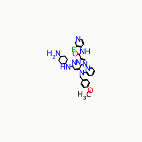 COc1ccc(CN(c2ccccn2)c2cc(NC3CCC(N)CC3)nn3c(C(=O)Nc4ccncc4F)cnc23)cc1